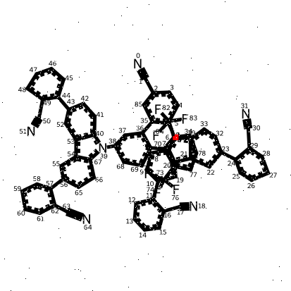 N#Cc1ccc(-n2c3ccc(-c4ccccc4C#N)cc3c3cc(-c4ccccc4C#N)ccc32)c(-c2cc(-n3c4ccc(-c5ccccc5C#N)cc4c4cc(-c5ccccc5C#N)ccc43)ccc2-c2c(C(F)(F)F)cccc2C(F)(F)F)c1